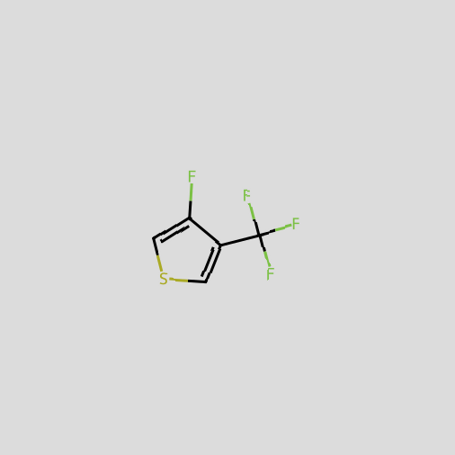 Fc1cscc1C(F)(F)F